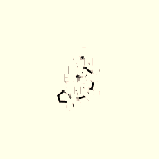 CCC(=O)NC(NC(=O)CC)C(=O)N[C@@H](C)C(=O)N[C@@H](C)C(=O)ON1C(=O)CCC1=O